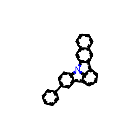 c1ccc(-c2ccc3c(c2)c2cccc4c5cc6ccccc6cc5n3c24)cc1